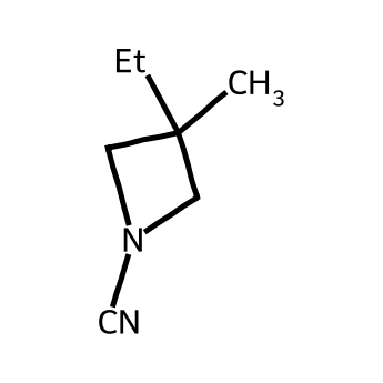 CCC1(C)CN(C#N)C1